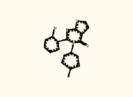 Cc1ccc(-n2c(-c3ccccc3Br)nc3sccc3c2=O)cc1